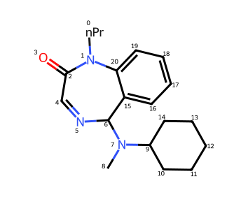 CCCN1C(=O)C=NC(N(C)C2CCCCC2)c2ccccc21